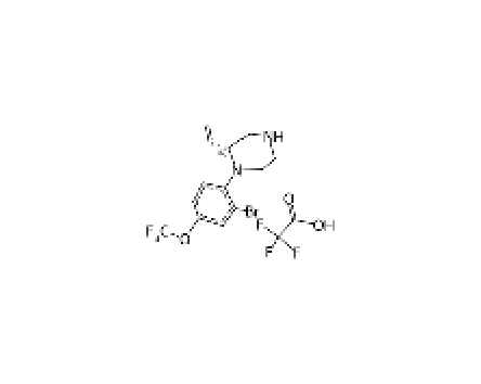 C=C[C@@H]1CNCCN1c1ccc(OC(F)(F)F)cc1Br.O=C(O)C(F)(F)F